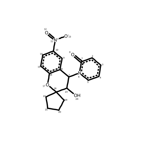 O=c1ccccn1C1c2cc([N+](=O)[O-])ccc2OC2(CCCC2)C1O